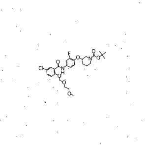 COCCOCOc1ccc(Cl)cc1C(=O)Nc1ccc(OC2CCCN(C(=O)OC(C)(C)C)C2)c(F)c1